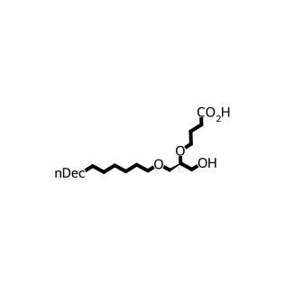 CCCCCCCCCCCCCCCCOC[C@H](CO)OCCCC(=O)O